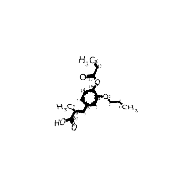 CCCOc1cc(/C=C(\C)C(=O)O)ccc1OC(=O)CC